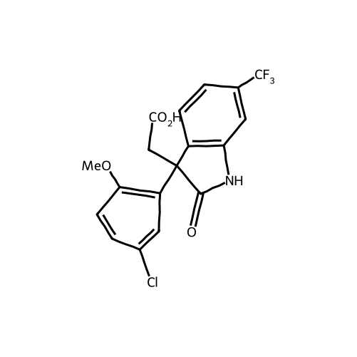 COc1ccc(Cl)cc1C1(CC(=O)O)C(=O)Nc2cc(C(F)(F)F)ccc21